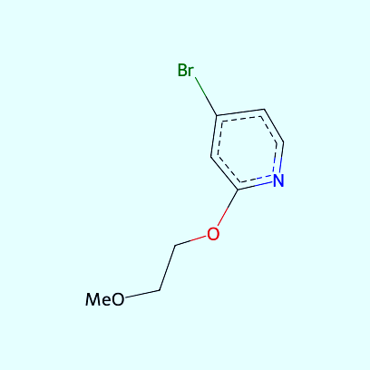 COCCOc1cc(Br)ccn1